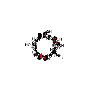 CCCC[C@H]1C(=O)N(C)CC(=O)N[C@@H](CC(=O)O)C(=O)N[C@@H](CCC)C(=O)N(C)[C@@H](Cc2ccccc2)C(=O)N[C@@H](Cc2ccc(O)cc2)C(=O)N(C)CC(=O)N[C@@H](Cc2ccc(O)cc2)C(=O)N[C@@H](Cc2ccc(O)cc2)C(=O)N[C@@H](CC(C)C)C(=O)N[C@H](C(=O)NCC(N)=O)CSCC(=O)N[C@@H](Cc2ccccc2)C(=O)N(C)[C@@H](Cc2ccccc2)C(=O)N1C